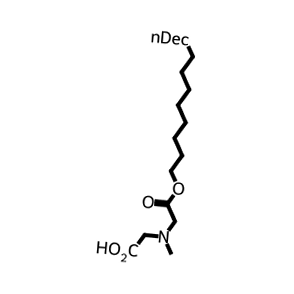 CCCCCCCCCCCCCCCCCCOC(=O)CN(C)CC(=O)O